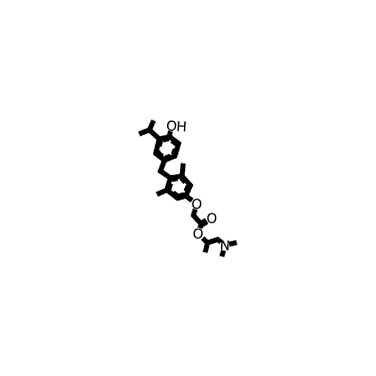 Cc1cc(OCC(=O)OC(C)CN(C)C)cc(C)c1Cc1ccc(O)c(C(C)C)c1